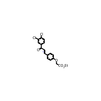 CCOC(=O)COc1ccc(/C=C/C(=O)c2ccc(Cl)c(Cl)c2)cc1